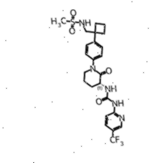 CS(=O)(=O)NCC1(c2ccc(N3CCC[C@@H](NC(=O)Nc4ccc(C(F)(F)F)cn4)C3=O)cc2)CCC1